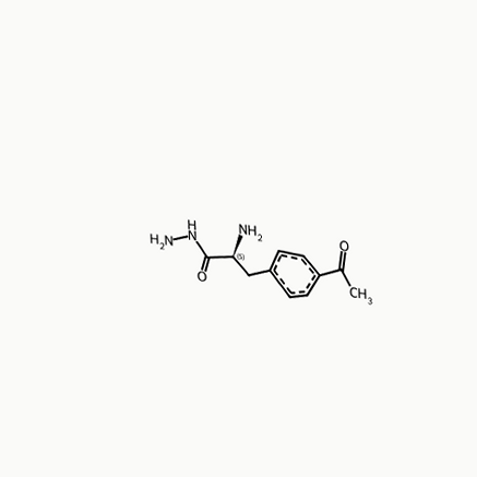 CC(=O)c1ccc(C[C@H](N)C(=O)NN)cc1